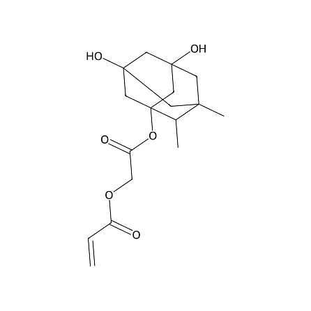 C=CC(=O)OCC(=O)OC12CC3(O)CC(O)(CC(C)(C3)C1C)C2